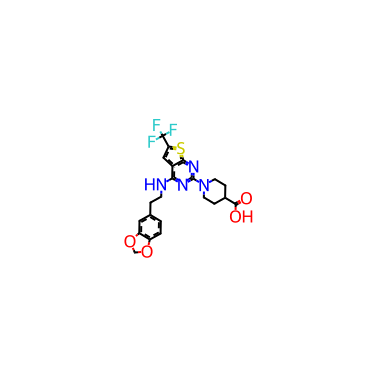 O=C(O)C1CCN(c2nc(NCCc3ccc4c(c3)OCO4)c3cc(C(F)(F)F)sc3n2)CC1